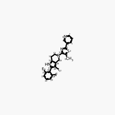 Cc1sc(-c2cccnc2)nc1N1CCc2[nH]c(-c3c(F)cccc3F)c(I)c2C1